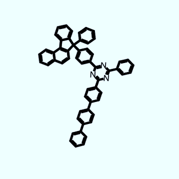 c1ccc(-c2ccc(-c3ccc(-c4nc(-c5ccccc5)nc(-c5ccc(C6(c7ccccc7)c7ccccc7-c7c6ccc6ccccc76)cc5)n4)cc3)cc2)cc1